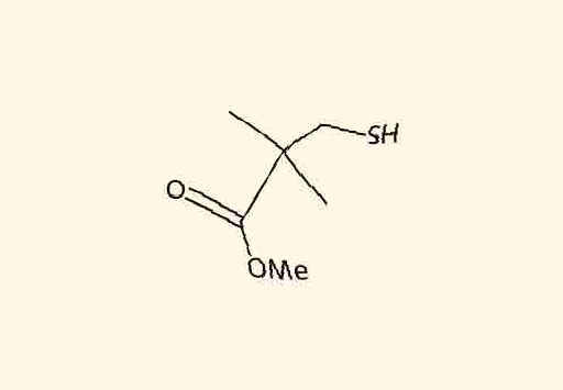 COC(=O)C(C)(C)CS